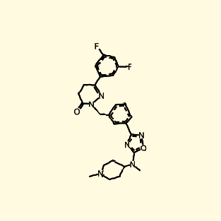 CN1CCC(N(C)c2nc(-c3cccc(CN4N=C(c5cc(F)cc(F)c5)CCC4=O)c3)no2)CC1